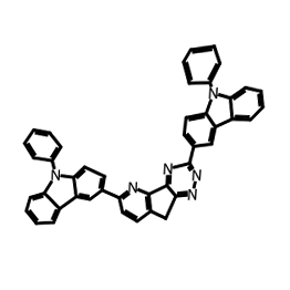 c1ccc(-n2c3ccccc3c3cc(-c4ccc5c(n4)-c4nc(-c6ccc7c(c6)c6ccccc6n7-c6ccccc6)nnc4C5)ccc32)cc1